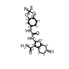 CCN1CCc2c(sc(NC(=O)Nc3ccc4c(c3)OC(F)(F)O4)c2C(N)=O)C1